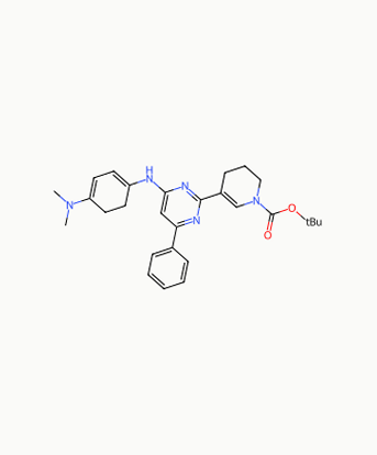 CN(C)C1=CC=C(Nc2cc(-c3ccccc3)nc(C3=CN(C(=O)OC(C)(C)C)CCC3)n2)CC1